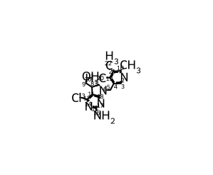 Cc1ncc(CN2CC(CO)c3c(Cl)nc(N)nc32)c(C)c1C